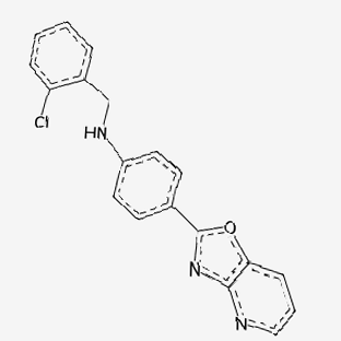 Clc1ccccc1CNc1ccc(-c2nc3ncccc3o2)cc1